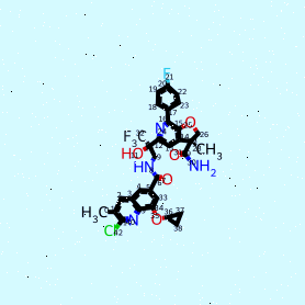 Cc1cc2cc(C(=O)NCC(O)(c3cc4c(c(-c5ccc(F)cc5)n3)OC[C@]4(C)C(N)=O)C(F)(F)F)cc(OC3CC3)c2nc1Cl